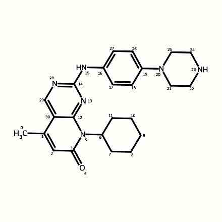 Cc1cc(=O)n(C2CCCCC2)c2nc(Nc3ccc(N4CCNCC4)cc3)ncc12